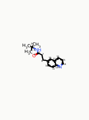 CC(C)(C)NC(=O)CCc1ccc2ncccc2c1